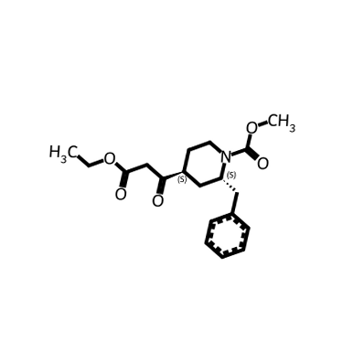 CCOC(=O)CC(=O)[C@H]1CCN(C(=O)OC)[C@H](Cc2ccccc2)C1